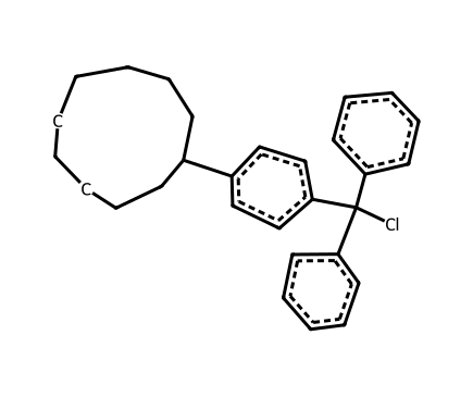 ClC(c1ccccc1)(c1ccccc1)c1ccc(C2CCCCCCCCC2)cc1